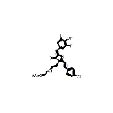 COCCOCCN1C(=O)/C(=C/c2cc(F)c(O)c(I)c2)N=C1/C=C/c1ccc(Cl)cc1